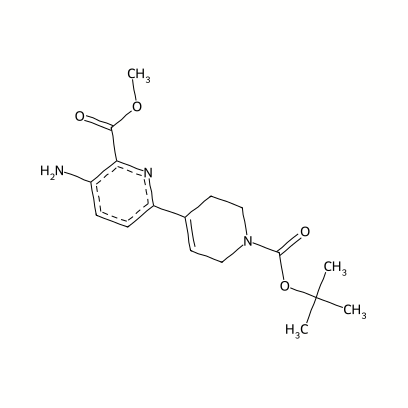 COC(=O)c1nc(C2=CCN(C(=O)OC(C)(C)C)CC2)ccc1N